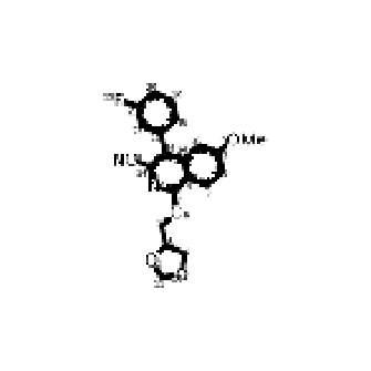 COc1ccc2c(OCC3COCO3)nc(C#N)c(-c3cccc(F)c3)c2c1